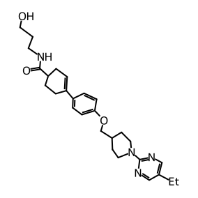 CCc1cnc(N2CCC(COc3ccc(C4=CCC(C(=O)NCCCO)CC4)cc3)CC2)nc1